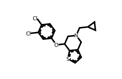 Clc1ccc(OC2CN(CC3CC3)Cc3ccsc32)cc1Cl